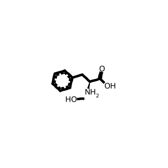 CO.N[C@@H](Cc1ccccc1)C(=O)O